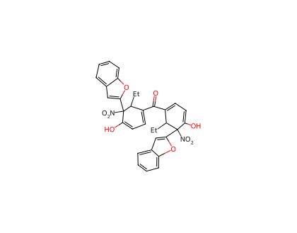 CCC1C(C(=O)C2=CC=C(O)C(c3cc4ccccc4o3)([N+](=O)[O-])C2CC)=CC=C(O)C1(c1cc2ccccc2o1)[N+](=O)[O-]